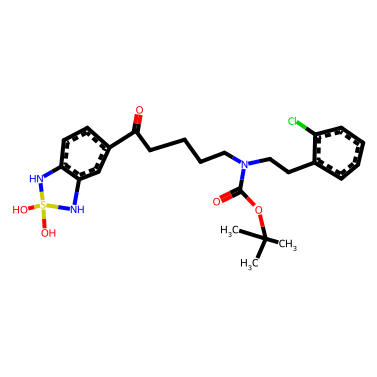 CC(C)(C)OC(=O)N(CCCCC(=O)c1ccc2c(c1)NS(O)(O)N2)CCc1ccccc1Cl